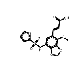 COc1c(C=CC(=O)O)cc(NS(=O)(=O)c2cccs2)c2c1OCO2